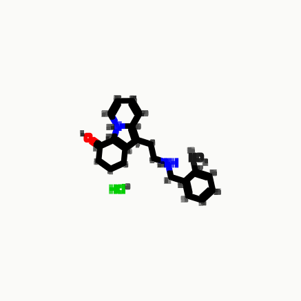 Cl.O=C1CCCc2c(CCNCc3ccccc3[N+](=O)[O-])c3ccccn3c21